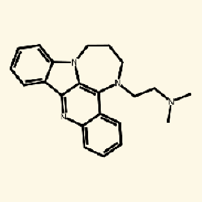 CN(C)CCN1CCCn2c3ccccc3c3nc4ccccc4c1c32